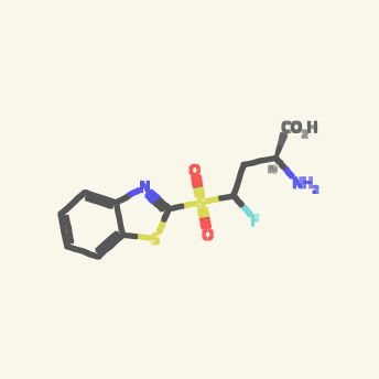 N[C@@H](CC(F)S(=O)(=O)c1nc2ccccc2s1)C(=O)O